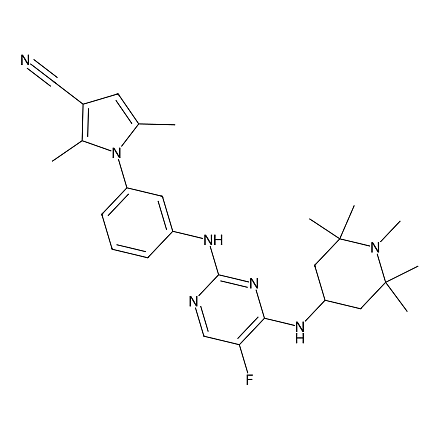 Cc1cc(C#N)c(C)n1-c1cccc(Nc2ncc(F)c(NC3CC(C)(C)N(C)C(C)(C)C3)n2)c1